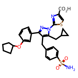 NS(=O)(=O)c1ccc(Cc2c(-c3cccc(OC4CCCC4)c3)nn(-c3nc(C(=O)O)cs3)c2CC2CC2)cc1